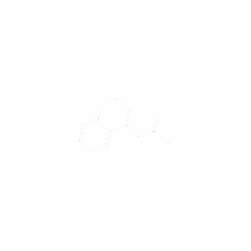 NC(=O)CC1CCSc2ccccc21